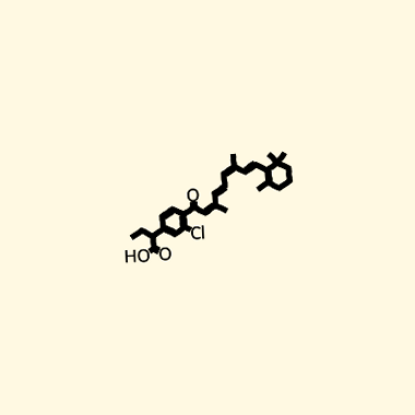 CCC(C(=O)O)c1ccc(C(=O)C=C(C)C=CC=C(C)C=CC2=C(C)CCCC2(C)C)c(Cl)c1